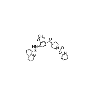 COc1cc(C(=O)N2CCN(C(=O)Oc3ccccn3)CC2)ccc1NSc1cccc2cccnc12